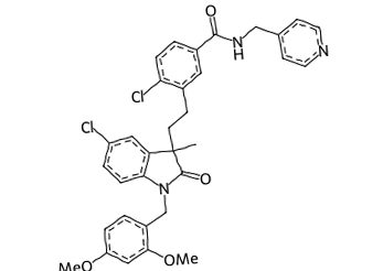 COc1ccc(CN2C(=O)C(C)(CCc3cc(C(=O)NCc4ccncc4)ccc3Cl)c3cc(Cl)ccc32)c(OC)c1